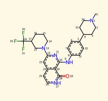 CN1CCC(c2ccc(Nc3nc(N4CCCC(C(F)(F)F)C4)cc4cc[nH]c(=O)c34)cc2)CC1